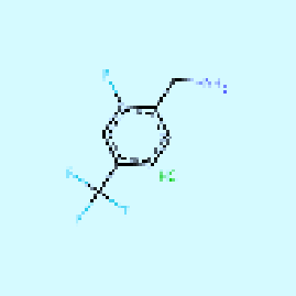 Cl.NCc1ccc(C(F)(F)F)cc1F